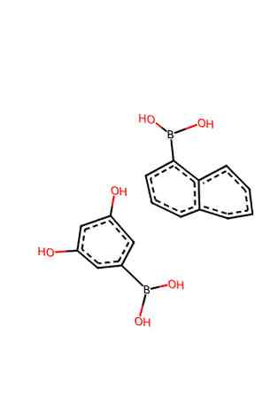 OB(O)c1cc(O)cc(O)c1.OB(O)c1cccc2ccccc12